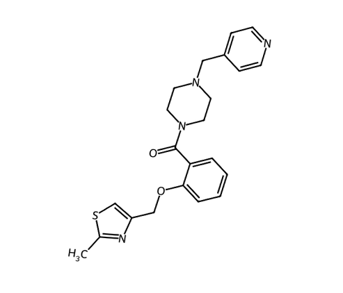 Cc1nc(COc2ccccc2C(=O)N2CCN(Cc3ccncc3)CC2)cs1